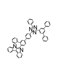 c1ccc(-c2cc(-c3ccccc3)cc(-c3nc(-c4ccccc4)nc(-c4ccc(-c5ccc6c(c5)-c5ccccc5-n5c7ccccc7c7c8ccccc8nc-6c75)cc4)n3)c2)cc1